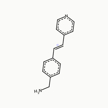 NCc1ccc(/C=C/c2ccncc2)cc1